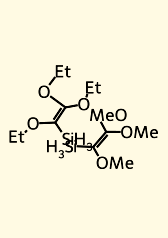 CCOC([SiH3])=C(OCC)OCC.COC([SiH3])=C(OC)OC